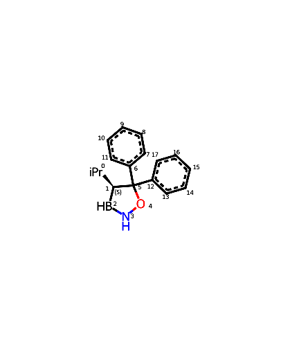 CC(C)[C@@H]1BNOC1(c1ccccc1)c1ccccc1